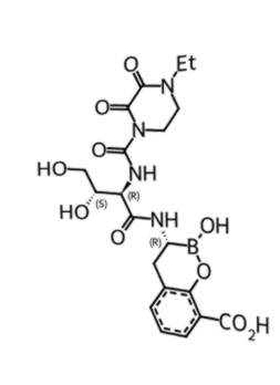 CCN1CCN(C(=O)N[C@@H](C(=O)N[C@H]2Cc3cccc(C(=O)O)c3OB2O)[C@H](O)CO)C(=O)C1=O